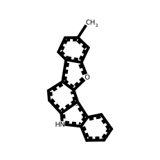 Cc1ccc2c(c1)oc1c2ccc2[nH]c3ccccc3c21